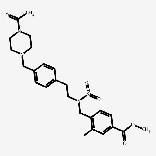 COC(=O)c1ccc(CN(CCc2ccc(CN3CCN(C(C)=O)CC3)cc2)[SH](=O)=O)c(F)c1